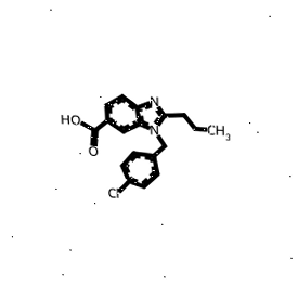 CCCc1nc2ccc(C(=O)O)cc2n1Cc1ccc(Cl)cc1